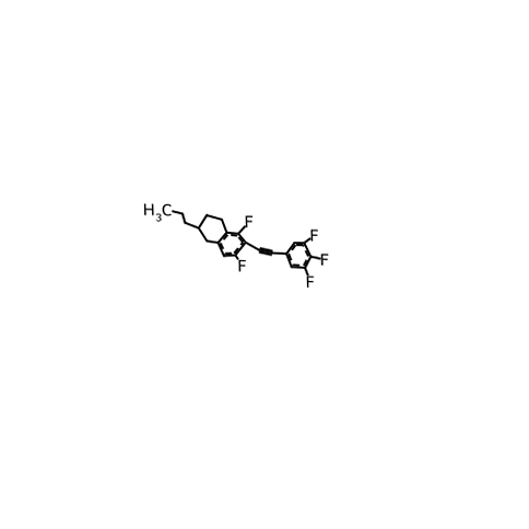 CCCC1CCc2c(cc(F)c(C#Cc3cc(F)c(F)c(F)c3)c2F)C1